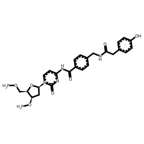 O=C(Cc1ccc(O)cc1)NCc1ccc(C(=O)Nc2ccn([C@H]3C[C@@H](OP)[C@@H](COP)O3)c(=O)n2)cc1